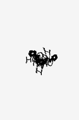 O=C(Nc1nc2[nH]nc(NC(=O)c3ccccc3)c2s1)c1ccccc1